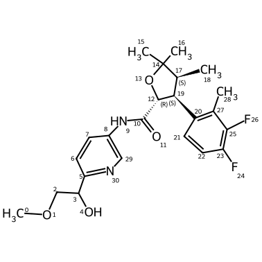 COCC(O)c1ccc(NC(=O)[C@@H]2OC(C)(C)[C@@H](C)[C@H]2c2ccc(F)c(F)c2C)cn1